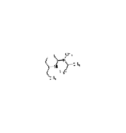 CCC(CI)NC(I)N(C)C(C)C